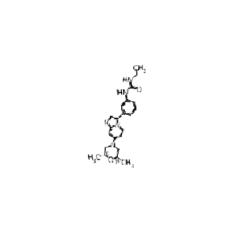 CCNC(=O)Nc1cccc(-c2cnc3cc(N4C[C@@H](C)O[C@H](C)C4)ccn23)c1